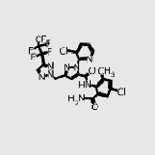 Cc1cc(Cl)cc(C(N)=O)c1NC(=O)c1cc(Cn2ncc(C(F)(F)C(F)(F)C(F)(F)F)n2)nn1-c1ncccc1Cl